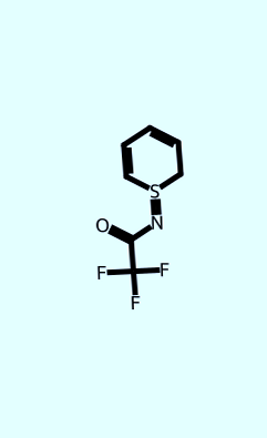 O=C(N=S1C=CC=CC1)C(F)(F)F